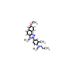 CCCN(C)c1ccc(-c2nc3c4ccc(OC)cc4ccc3n2C)cc1C